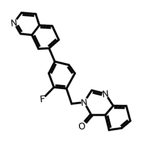 O=c1c2ccccc2ncn1Cc1ccc(-c2ccc3ccncc3c2)cc1F